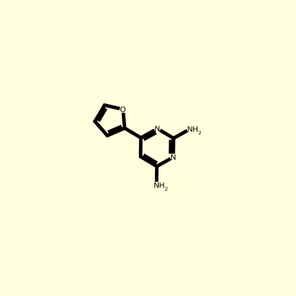 Nc1cc(-c2ccco2)nc(N)n1